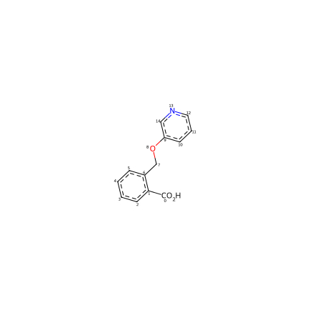 O=C(O)c1ccccc1COc1cccnc1